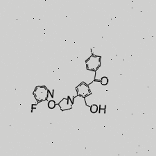 Cc1ccc(C(=O)c2ccc(N3CCC(Oc4ncccc4F)C3)c(CO)c2)cc1